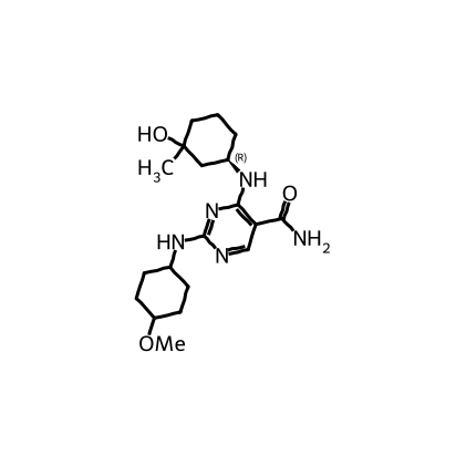 COC1CCC(Nc2ncc(C(N)=O)c(N[C@@H]3CCCC(C)(O)C3)n2)CC1